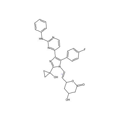 O=C1CC(O)CC(/C=C/n2c(C3(O)CC3)nc(-c3ccnc(Nc4ccccc4)n3)c2-c2ccc(F)cc2)O1